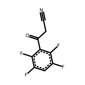 N#CCC(=O)c1c(F)c(F)cc(F)c1F